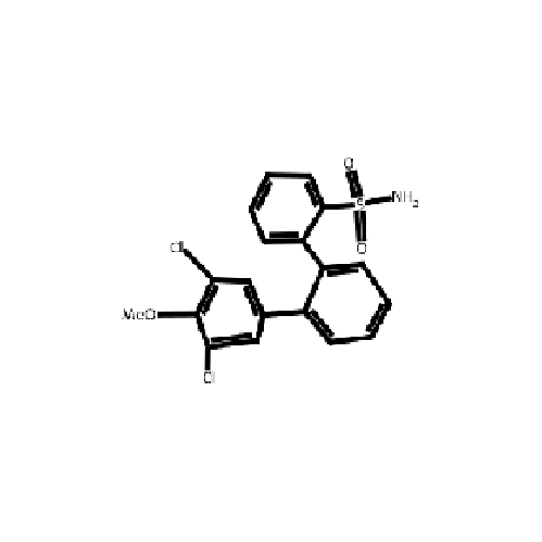 COc1c(Cl)cc(-c2ccccc2-c2ccccc2S(N)(=O)=O)cc1Cl